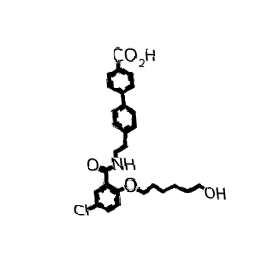 O=C(O)c1ccc(-c2ccc(CCNC(=O)c3cc(Cl)ccc3OCCCCCCO)cc2)cc1